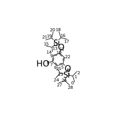 CC(C)[Si](Oc1cc(O)cc(O[Si](C(C)C)(C(C)C)C(C)C)c1)(C(C)C)C(C)C